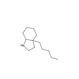 CCCCCC12CCCCC1NCC2